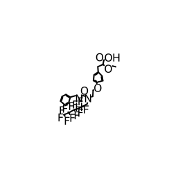 CCOC(Cc1ccc(OCCN(CC(F)(F)C(F)(F)C(F)(F)C(F)(F)C(F)(F)F)C(=O)NCc2ccccc2)cc1)C(=O)O